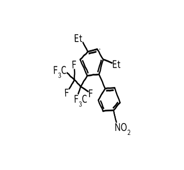 CCc1[c]c(CC)c(-c2ccc([N+](=O)[O-])cc2)c(C(F)(C(F)(F)F)C(F)(F)C(F)(F)F)c1